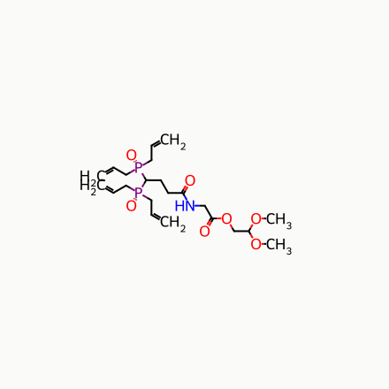 C=CCP(=O)(CC=C)C(CCC(=O)NCC(=O)OCC(OC)OC)P(=O)(CC=C)CC=C